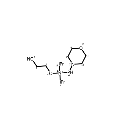 CC(C)[N+](OCCC#N)(PN1CCOCC1)C(C)C